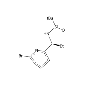 CC[C@H](N[S+]([O-])C(C)(C)C)c1cccc(Br)n1